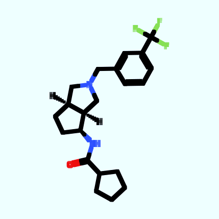 O=C(N[C@H]1CC[C@H]2CN(Cc3cccc(C(F)(F)F)c3)C[C@H]21)C1CCCC1